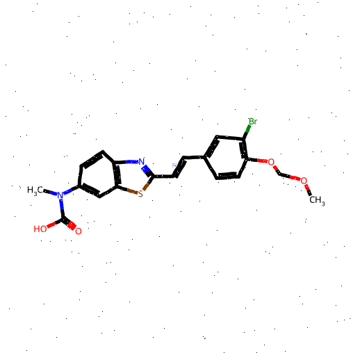 COCOc1ccc(/C=C/c2nc3ccc(N(C)C(=O)O)cc3s2)cc1Br